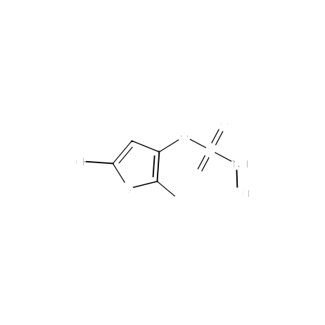 O=S(=O)(NO)Oc1cc(Cl)sc1Cl